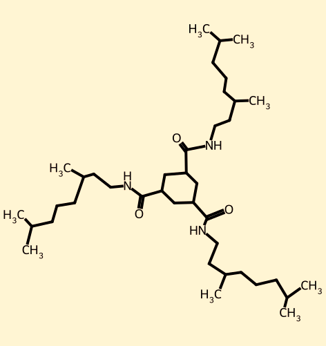 CC(C)CCCC(C)CCNC(=O)C1CC(C(=O)NCCC(C)CCCC(C)C)CC(C(=O)NCCC(C)CCCC(C)C)C1